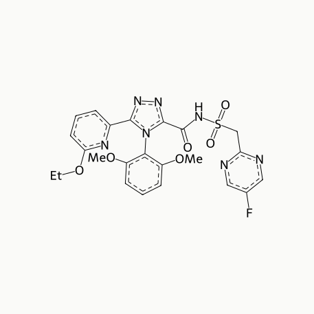 CCOc1cccc(-c2nnc(C(=O)NS(=O)(=O)Cc3ncc(F)cn3)n2-c2c(OC)cccc2OC)n1